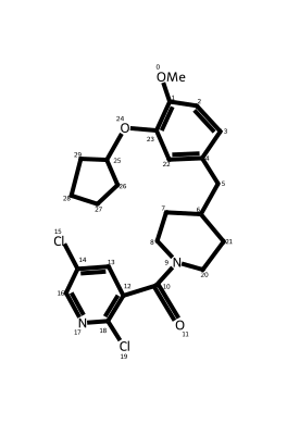 COc1ccc(CC2CCN(C(=O)c3cc(Cl)cnc3Cl)CC2)cc1OC1CCCC1